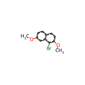 COc1ccc2ccc(OC)c(Br)c2c1